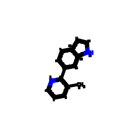 Cc1cccnc1-c1ccc2cc[nH]c2c1